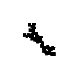 CCNc1cc2sc(C=Cc3ccc(O)c(Br)c3)nc2cc1C